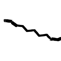 O=S=CCCCCCN=C=S